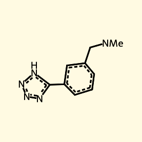 CNCc1cccc(-c2nnn[nH]2)c1